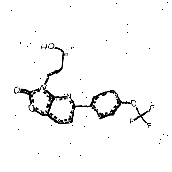 C[C@@H](O)CCn1c(=O)oc2ccc(-c3ccc(OC(F)(F)F)cc3)nc21